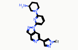 CCn1cc(-c2cc3c(cn2)cnn3-c2cccc(N3CCC[C@H](N)C3)n2)cn1